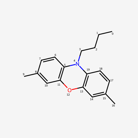 CCCCN1c2ccc(C)cc2Oc2cc(C)ccc21